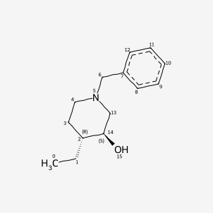 CC[C@@H]1CCN(Cc2ccccc2)C[C@H]1O